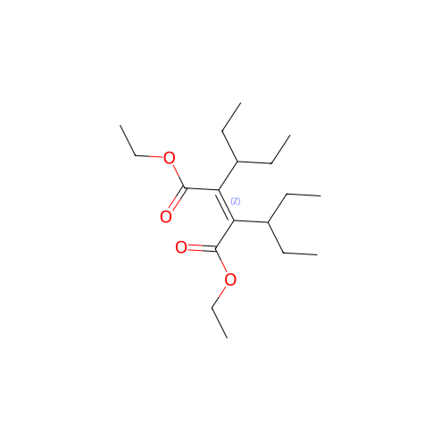 CCOC(=O)/C(=C(\C(=O)OCC)C(CC)CC)C(CC)CC